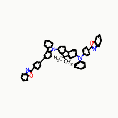 CC1(C)c2cc(N(c3ccccc3)c3ccc(-c4nc5ccccc5o4)cc3)ccc2-c2ccc(-n3c4ccccc4c4cc(-c5ccc(-c6nc7ccccc7o6)cc5)ccc43)cc21